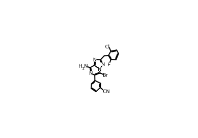 N#Cc1cccc(-c2nc(N)c3nc(Cc4c(F)cccc4Cl)nn3c2Br)c1